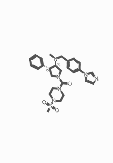 CN(Cc1ccc(-n2ccnc2)cc1)[C@H]1CN(C(=O)N2CCN(S(C)(=O)=O)CC2)C[C@@H]1c1ccccc1